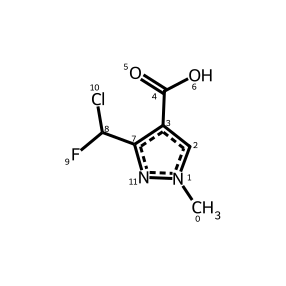 Cn1cc(C(=O)O)c(C(F)Cl)n1